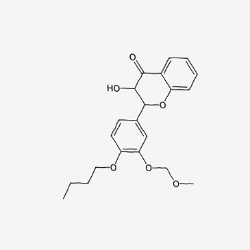 CCCCOc1ccc(C2Oc3ccccc3C(=O)C2O)cc1OCOC